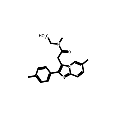 Cc1ccc(-c2nc3ccc(C)cn3c2CC(=O)N(C)CC(=O)O)cc1